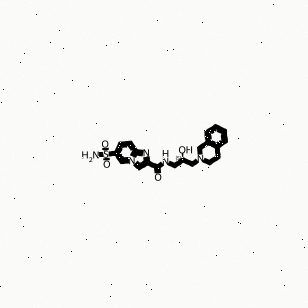 NS(=O)(=O)c1ccc2nc(C(=O)NC[C@H](O)CN3CCc4ccccc4C3)cn2c1